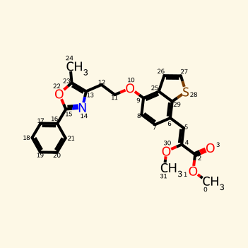 COC(=O)C(=Cc1ccc(OCCc2nc(-c3ccccc3)oc2C)c2ccsc12)OC